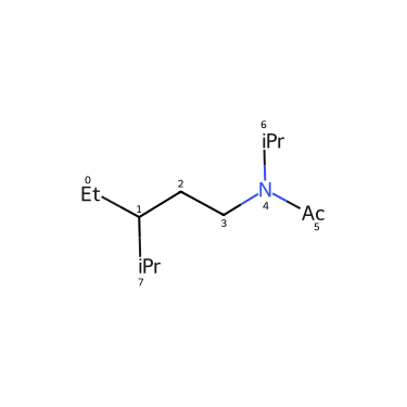 CCC(CCN(C(C)=O)C(C)C)C(C)C